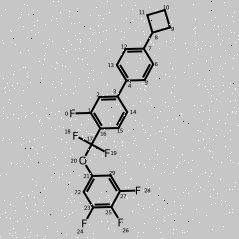 Fc1cc(-c2ccc(C3CCC3)cc2)ccc1C(F)(F)Oc1cc(F)c(F)c(F)c1